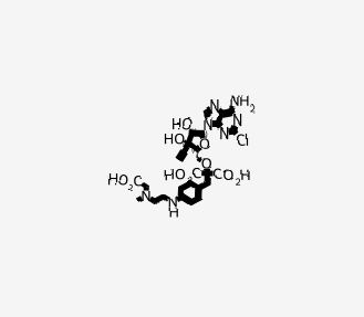 C#C[C@@]1(O)[C@@H](COC(Cc2ccc(NCCN(C)CC(=O)O)cc2)(C(=O)O)C(=O)O)O[C@@H](n2cnc3c(N)nc(Cl)nc32)[C@@H]1O